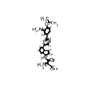 CC(C)Oc1ccc(-c2ncc(-c3cccc4c3CC[C@@H]4NC(=O)[C@H](N)CO)s2)cc1N